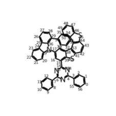 c1ccc(-c2nc(-c3ccccc3)nc(-c3cc(-n4c5ccccc5c5cccc(-c6ccccc6)c54)cc4c3sc3ccc5sc6ccccc6c5c34)n2)cc1